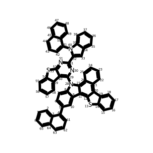 c1ccc2c(-c3ccc4c(c3)c3c5sc6ccccc6c5c5ccccc5c3n4-c3nc(-c4cc5ccccc5n4-c4cccc5ccccc45)nc4sc5ccccc5c34)cccc2c1